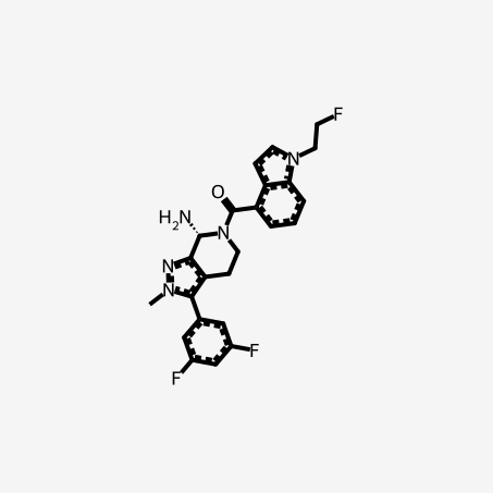 Cn1nc2c(c1-c1cc(F)cc(F)c1)CCN(C(=O)c1cccc3c1ccn3CCF)[C@H]2N